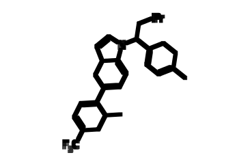 CC1=CC=C(C(CC(C)C)N2C=CC3CC(C4=CC=C(C(F)(F)F)CC4C)=CC=C32)CC1